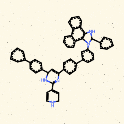 C1=CC(C2=NC(c3ccc(-c4cccc(N5c6c(c7ccccc7c7ccccc67)NC5c5ccccc5)c4)cc3)=CC(c3ccc(-c4ccccc4)cc3)N2)=CCN1